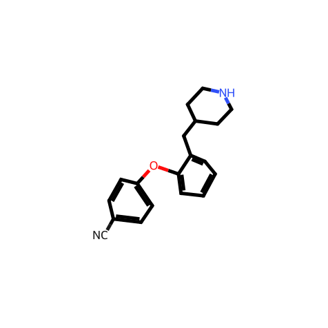 N#Cc1ccc(Oc2ccccc2CC2CCNCC2)cc1